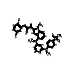 CN(c1ccc(S(C)(=O)=O)cc1)c1nccc(N(C)c2cccc3c2nc(NC(=O)Cc2cc(F)ccc2F)n3C)n1